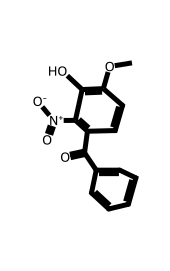 COc1ccc(C(=O)c2ccccc2)c([N+](=O)[O-])c1O